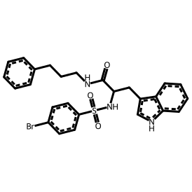 O=C(NCCCc1ccccc1)C(Cc1c[nH]c2ccccc12)NS(=O)(=O)c1ccc(Br)cc1